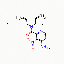 C=CCN(CC=C)C(=O)c1nccc(N)c1[N+](=O)[O-]